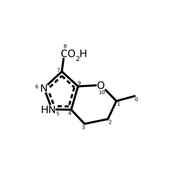 CC1CCc2[nH]nc(C(=O)O)c2O1